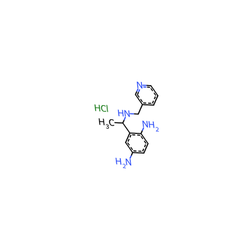 CC(NCc1cccnc1)c1cc(N)ccc1N.Cl